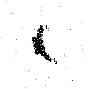 Nc1ccc(-c2ccc(B3c4ccccc4N4c5cccc6c5B(c5cccc3c54)c3cccc4c3N6c3ccccc3B4c3ccc(-c4ccc(N)cc4)cc3)cc2)cc1